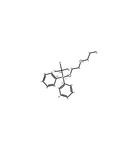 CCCOCCO[Si](c1ccccc1)(c1ccccc1)C(C)(C)C